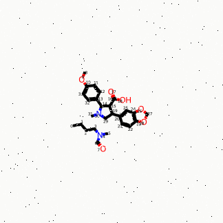 CCCCN(C)C=O.COc1ccc(C2C(C(=O)O)C(c3ccc4c(c3)OCO4)CN2C)cc1